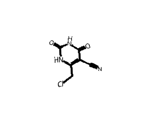 N#Cc1c(CCl)[nH]c(=O)[nH]c1=O